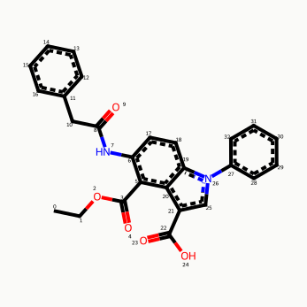 CCOC(=O)c1c(NC(=O)Cc2ccccc2)ccc2c1c(C(=O)O)cn2-c1ccccc1